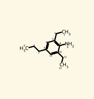 CCCc1cc(CC)c(N)c(CC)c1